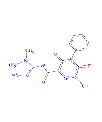 CN1NNN=C1NC(=O)c1nn(C)c(=O)n(-c2ccccc2)c1=O